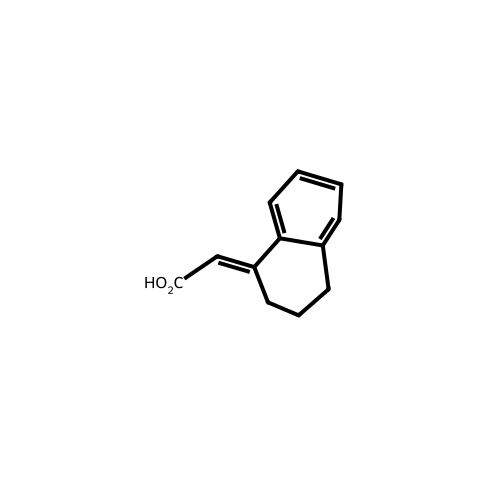 O=C(O)/C=C1\CCCc2ccccc21